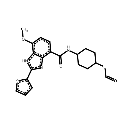 COc1ccc(C(=O)NC2CCC(OC=O)CC2)c2nc(-c3cccs3)[nH]c12